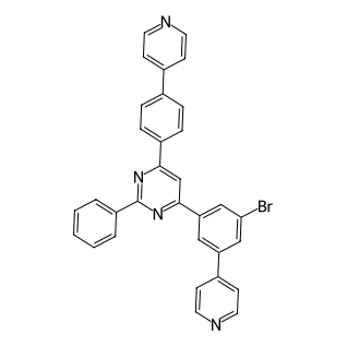 Brc1cc(-c2ccncc2)cc(-c2cc(-c3ccc(-c4ccncc4)cc3)nc(-c3ccccc3)n2)c1